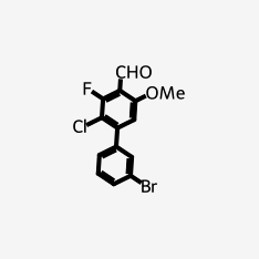 COc1cc(-c2cccc(Br)c2)c(Cl)c(F)c1C=O